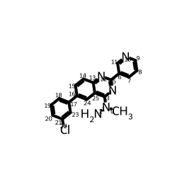 CN(N)c1nc(-c2cccnc2)nc2ccc(-c3cccc(Cl)c3)cc12